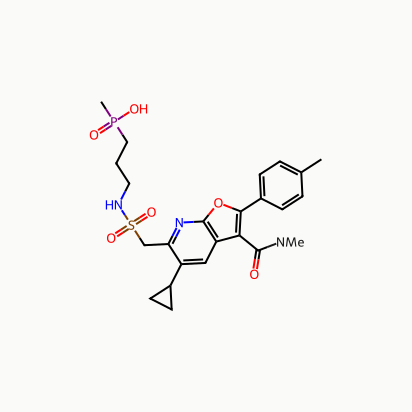 CNC(=O)c1c(-c2ccc(C)cc2)oc2nc(CS(=O)(=O)NCCCP(C)(=O)O)c(C3CC3)cc12